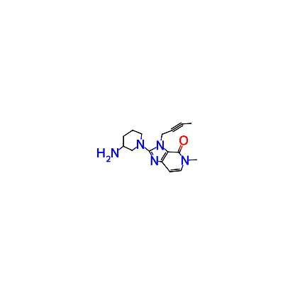 CC#CCn1c(N2CCCC(N)C2)nc2ccn(C)c(=O)c21